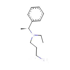 C[C@@H](N)[C@H]1CCN([C@@H](C)c2ccccc2)C1